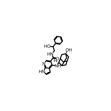 O=C(NCC(O)c1ccccc1)c1cnc2[nH]ccc2c1N[C@H]1C2CC3CC1C[C@@](O)(C3)C2